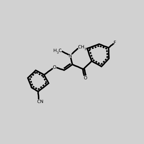 CN(C)C(=COc1cccc(C#N)c1)C(=O)c1ccc(F)cc1